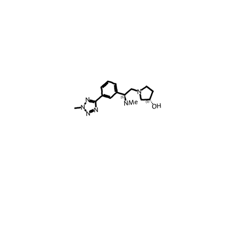 CN[C@H](CN1CC[C@H](O)C1)c1cccc(-c2nnn(C)n2)c1